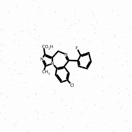 Cc1nc(C(=O)O)c2n1-c1ccc(Cl)cc1C(c1ccccc1F)=NC2